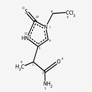 CC(C(N)=O)c1cn(CC(Cl)(Cl)Cl)c(=S)[nH]1